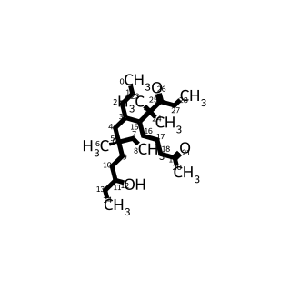 CCCC(C[C@](C)(CC)CCC(O)CC)C(CCCC(C)=O)C(C)(C)C(=O)CC